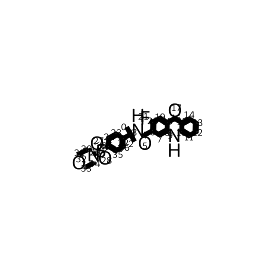 CC(C)(NC(=O)c1cc2[nH]c3ccccc3c(=O)c2cc1F)c1ccc(S(=O)(=O)N2CCOCC2)cc1